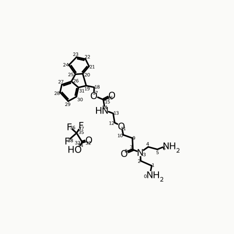 NCCN(CCN)C(=O)CCOCCNC(=O)OCC1c2ccccc2-c2ccccc21.O=C(O)C(F)(F)F